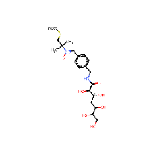 CCCCCCCCSCC(C)(C)/[N+]([O-])=C/c1ccc(CNC(=O)C(O)[C@H](O)CC(O)C(O)CO)cc1